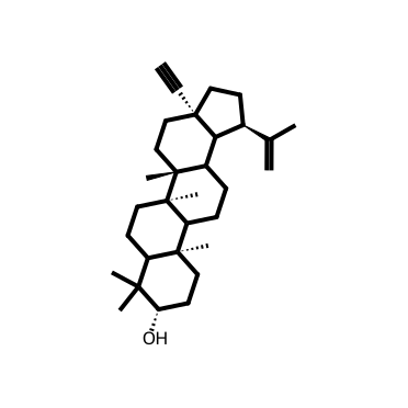 C#C[C@]12CC[C@@H](C(=C)C)C1C1CCC3[C@@]4(C)CC[C@H](O)C(C)(C)C4CC[C@@]3(C)[C@]1(C)CC2